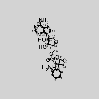 Nc1ccccc1C1(NS(=O)(=O)OC[C@H]2OC[C@](O)(n3cnc4c(N)ncnc43)[C@@H]2O)COC1